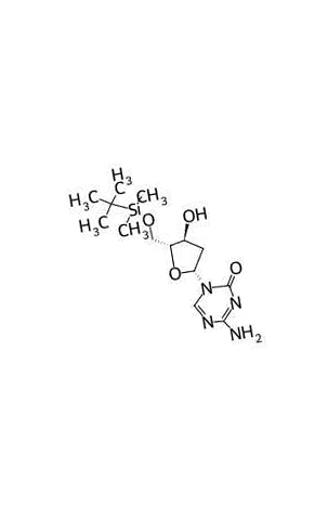 CC(C)(C)[Si](C)(C)OC[C@H]1O[C@@H](n2cnc(N)nc2=O)C[C@@H]1O